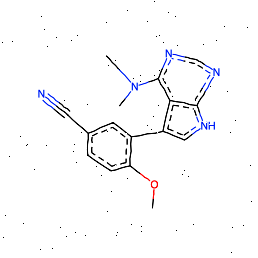 COc1ccc(C#N)cc1-c1c[nH]c2ncnc(N(C)C)c12